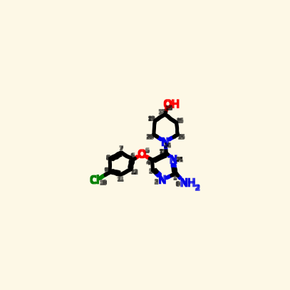 Nc1ncc(Oc2ccc(Cl)cc2)c(N2CCC(O)CC2)n1